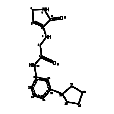 O=C(CNC1=CCNC1=O)Nc1cccc(C2CCCC2)c1